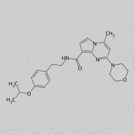 Cc1cc(N2CCOCC2)nc2c(C(=O)NCCc3ccc(OC(C)C)cc3)ccn12